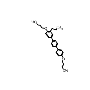 CCCc1cc(-c2ccc(-c3ccc(OCCCO)cc3)cc2)ccc1OCCCO